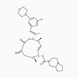 C/C(=C\c1cc(F)cc(N2CCOCC2)c1)[C@H]1OC(=O)C[C@H](O)CC[C@H](C)[C@@H](OC(=O)N2CCN3CCCC3C2)/C=C/[C@@H]1C